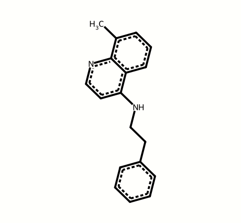 Cc1cccc2c(NCCc3ccccc3)ccnc12